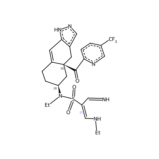 CCN/C=C(\C=N)S(=O)(=O)N(CC)[C@H]1CCC2=Cc3[nH]ncc3C[C@]2(C(=O)c2ccc(C(F)(F)F)cn2)C1